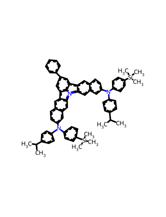 CC(C)c1ccc(N(c2ccc([Si](C)(C)C)cc2)c2ccc3cc4c5cc(-c6ccccc6)cc6c7cc8ccc(N(c9ccc(C(C)C)cc9)c9ccc([Si](C)(C)C)cc9)cc8cc7n(c4cc3c2)c56)cc1